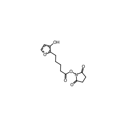 O=C(CCCCc1occc1O)ON1C(=O)CCC1=O